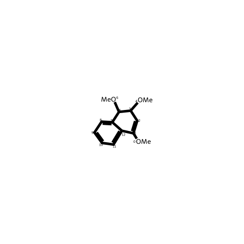 COC1=[C]C(OC)C(OC)c2ccccc21